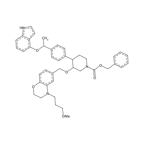 COCCCN1CCOc2ccc(COC3CN(C(=O)OCc4ccccc4)CCC3c3ccc(C(C)Oc4cccc5[nH]ccc45)cc3)cc21